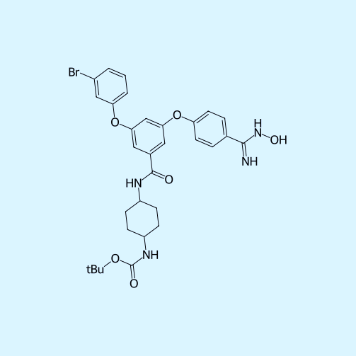 CC(C)(C)OC(=O)NC1CCC(NC(=O)c2cc(Oc3ccc(C(=N)NO)cc3)cc(Oc3cccc(Br)c3)c2)CC1